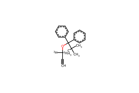 [2H]C([2H])(C#C)OC(c1ccccc1)(c1ccccc1)C(C)(C)C